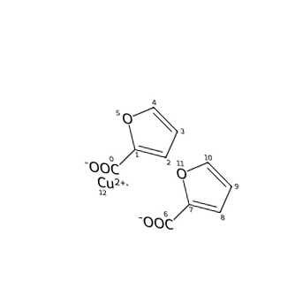 O=C([O-])c1ccco1.O=C([O-])c1ccco1.[Cu+2]